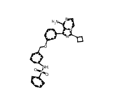 Nc1nccn2c(C3CCC3)nc(-c3cccc(OCc4cccc(NS(=O)(=O)c5ccccc5)c4)c3)c12